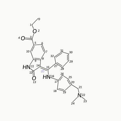 CCOC(=O)c1ccc2c(c1)NC(=O)/C2=C(\Nc1ccc(CN(C)C)cc1)c1ccccc1